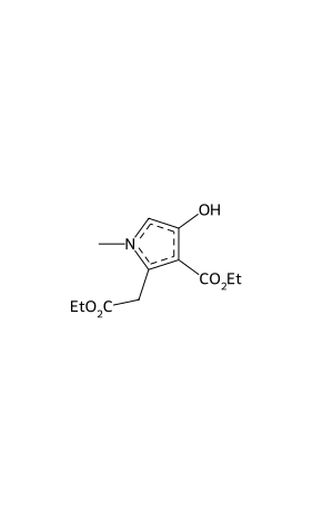 CCOC(=O)Cc1c(C(=O)OCC)c(O)cn1C